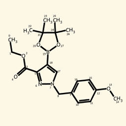 CCOC(=O)c1nn(Cc2ccc(OC)cc2)cc1B1OC(C)(C)C(C)(C)O1